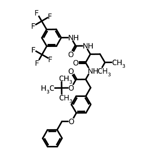 CC(C)CC(NC(=O)Nc1cc(C(F)(F)F)cc(C(F)(F)F)c1)C(=O)NC(Cc1ccc(OCc2ccccc2)cc1)C(=O)OC(C)(C)C